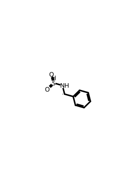 O=[SH](=O)N[CH]c1ccccc1